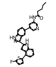 CCCCC(=O)Nc1cncc(-c2ccc3[nH]nc(-c4cc5c(-c6ccc(F)s6)cccc5[nH]4)c3c2)c1